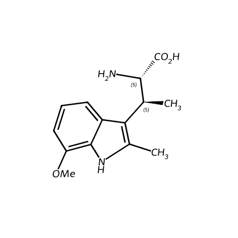 COc1cccc2c([C@H](C)[C@H](N)C(=O)O)c(C)[nH]c12